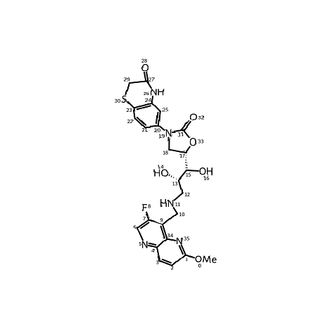 COc1ccc2ncc(F)c(CNC[C@H](O)C(O)[C@@H]3CN(c4ccc5c(c4)NC(=O)CS5)C(=O)O3)c2n1